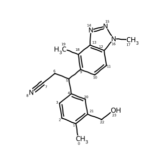 Cc1ccc(C(CC#N)c2ccc3c(nnn3C)c2C)cc1CO